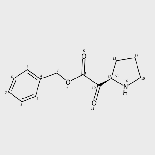 O=C(OCc1ccccc1)C(=O)[C@H]1CCCN1